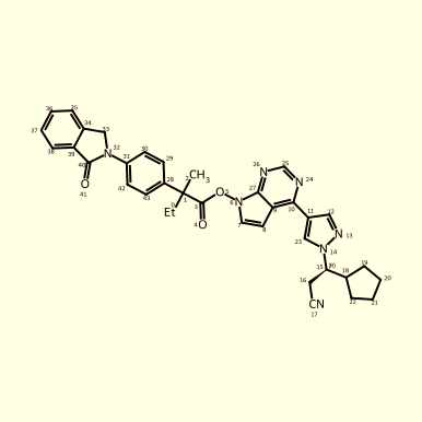 CCC(C)(C(=O)On1ccc2c(-c3cnn([C@H](CC#N)C4CCCC4)c3)ncnc21)c1ccc(N2Cc3ccccc3C2=O)cc1